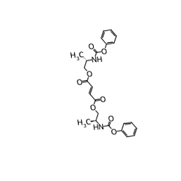 C[C@@H](COC(=O)/C=C/C(=O)OC[C@H](C)NC(=O)Oc1ccccc1)NC(=O)Oc1ccccc1